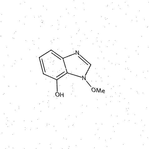 COn1cnc2cccc(O)c21